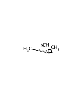 C#N.CCCCCCCCn1ccc(C)c1